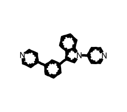 c1cc(-c2ccncc2)cc(-c2cn(-c3ccncc3)c3ccccc23)c1